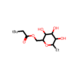 CCC1OC(COC(=O)CC(C)(C)C)C(O)C(O)C1O